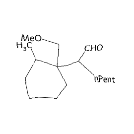 CCCCCC(C=O)C1(COC)CCCCC1C